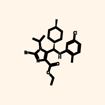 CCOC(=O)c1nc(Br)n(C(C)C)c1C(Nc1cc(Cl)ccc1C)[C@H]1CC[C@H](C)CC1